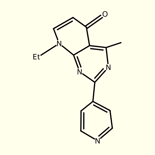 CCn1ccc(=O)c2c(C)nc(-c3ccncc3)nc21